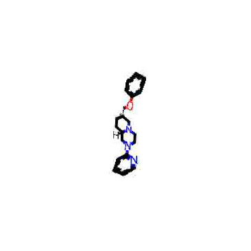 c1ccc(OC[C@H]2CC[C@H]3CN(c4ccccn4)CCN3C2)cc1